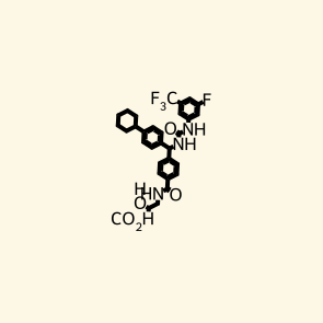 O=C(Nc1cc(F)cc(C(F)(F)F)c1)NC(c1ccc(C(=O)NCC(O)C(=O)O)cc1)c1ccc(C2CCCCC2)cc1